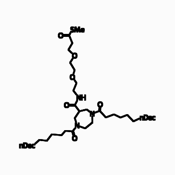 CCCCCCCCCCCCCCCC(=O)N1CCN(C(=O)CCCCCCCCCCCCCCC)CC(C(=O)NCCOCCOCCC(=O)SC)C1